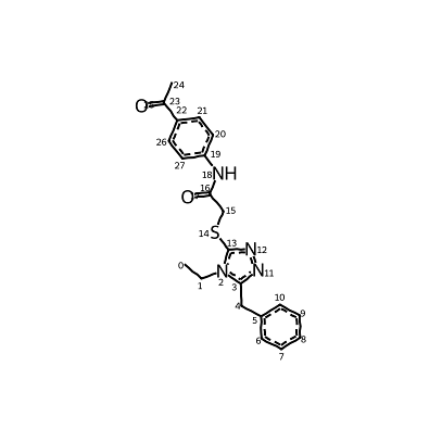 CCn1c(Cc2ccccc2)nnc1SCC(=O)Nc1ccc(C(C)=O)cc1